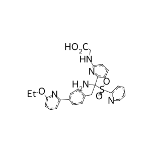 CCOc1cccc(-c2ccc(CC(N)(c3cccc(NCC(=O)O)n3)S(=O)(=O)c3ccccn3)cc2)n1